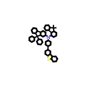 CC1(C)c2ccccc2-c2c(N(c3ccc(-c4ccc5sc6ccccc6c5c4)cc3)c3ccc4c(c3)C(c3ccccc3)(c3ccccc3)c3ccccc3-4)cccc21